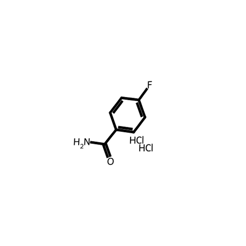 Cl.Cl.NC(=O)c1ccc(F)cc1